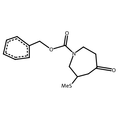 CSC1CC(=O)CCN(C(=O)OCc2ccccc2)C1